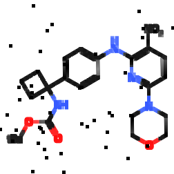 CC(C)(C)OC(=O)NC1(c2ccc(Nc3nc(N4CCOCC4)ccc3[N+](=O)[O-])cc2)CCC1